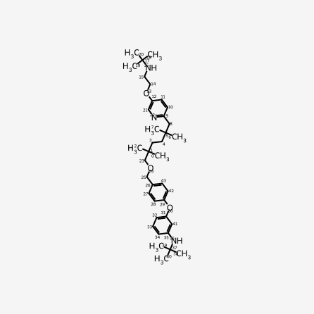 CC(C)(CCC(C)(C)Cc1ccc(OCCNC(C)(C)C)cn1)COCc1ccc(Oc2cccc(NC(C)(C)C)c2)cc1